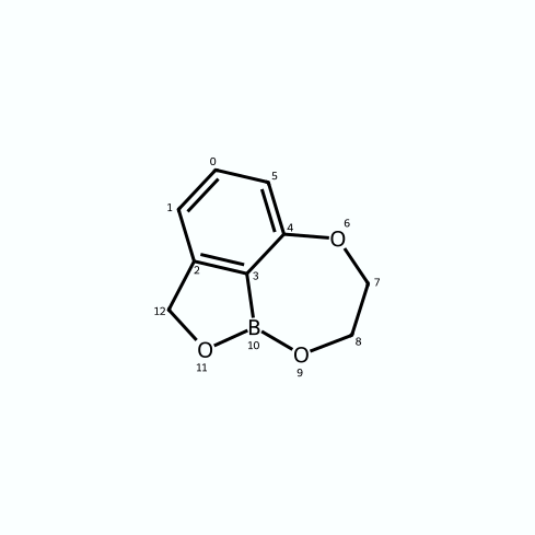 c1cc2c3c(c1)OCCOB3OC2